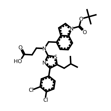 CC(C)Cc1sc(N(CCC(=O)O)Cc2cccc3c2ccn3C(=O)OC(C)(C)C)nc1-c1ccc(Cl)c(Cl)c1